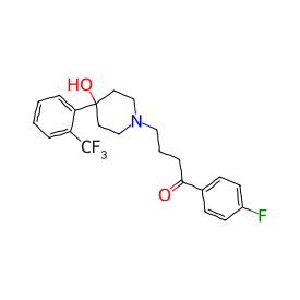 O=C(CCCN1CCC(O)(c2ccccc2C(F)(F)F)CC1)c1ccc(F)cc1